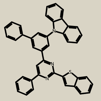 c1ccc(-c2cc(-c3cc(-c4ccccc4)nc(-c4cc5ccccc5s4)n3)cc(-n3c4ccccc4c4ccccc43)c2)cc1